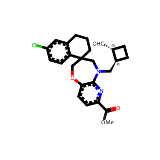 COC(=O)c1ccc2c(n1)N(C[C@@H]1CC[C@H]1C=O)CC1(CCCc3cc(Cl)ccc31)CO2